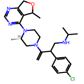 C=C(C(CNC(C)C)c1ccc(Cl)cc1)N1CCN(c2ncnc3c2C(C)OC3)[C@@H](C)C1